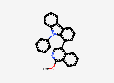 CCOc1ncc(-c2cccc3c4ccccc4n(-c4ccccc4)c23)c2ccccc12